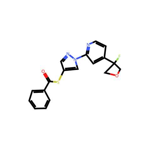 O=C(Sc1cnn(-c2cc(C3(F)COC3)ccn2)c1)c1ccccc1